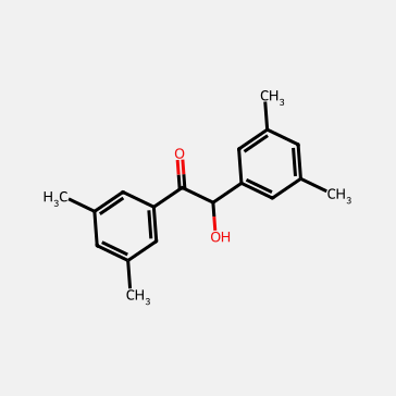 Cc1cc(C)cc(C(=O)C(O)c2cc(C)cc(C)c2)c1